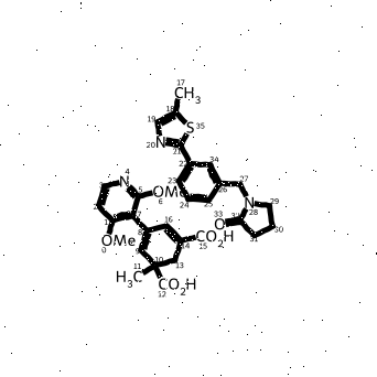 COc1ccnc(OC)c1C1=CC(C)(C(=O)O)CC(C(=O)O)=C1.Cc1cnc(-c2cccc(CN3CCCC3=O)c2)s1